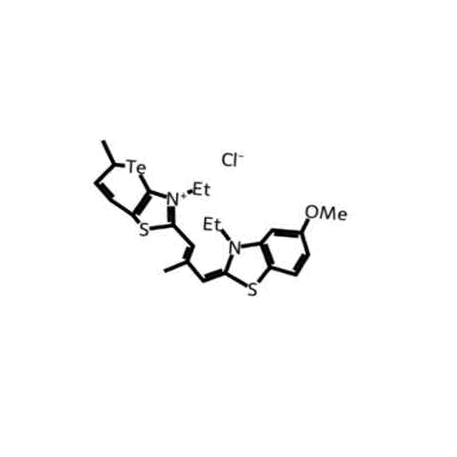 CCN1C(=CC(C)=Cc2sc3c([n+]2CC)[Te]C(C)C=C3)Sc2ccc(OC)cc21.[Cl-]